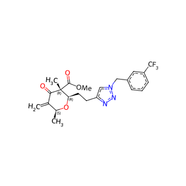 C=C1C(=O)[C@](C)(C(=O)OC)[C@@H](CCc2cn(Cc3cccc(C(F)(F)F)c3)nn2)O[C@H]1C